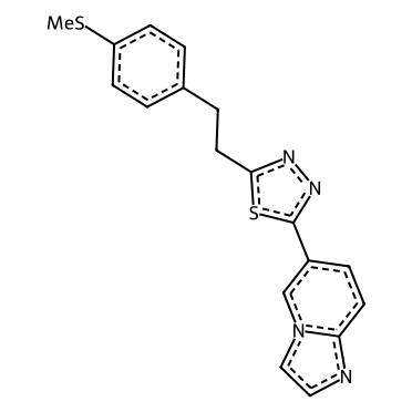 CSc1ccc(CCc2nnc(-c3ccc4nccn4c3)s2)cc1